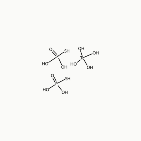 O=P(O)(O)S.O=P(O)(O)S.[OH][Ti]([OH])([OH])[OH]